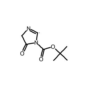 CC(C)(C)OC(=O)N1[C]=NCC1=O